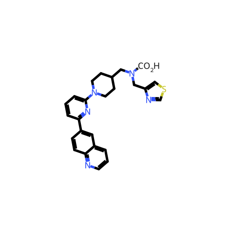 O=C(O)N(Cc1cscn1)CC1CCN(c2cccc(-c3ccc4ncccc4c3)n2)CC1